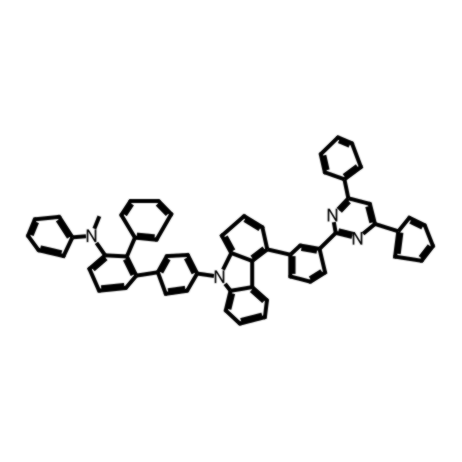 CN(c1ccccc1)c1cccc(-c2ccc(-n3c4ccccc4c4c(-c5cccc(-c6nc(-c7ccccc7)cc(-c7ccccc7)n6)c5)cccc43)cc2)c1-c1ccccc1